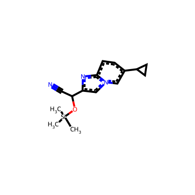 C[Si](C)(C)OC(C#N)c1cn2cc(C3CC3)ccc2n1